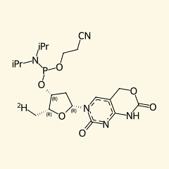 [2H]C[C@H]1O[C@@H](n2cc3c(nc2=O)NC(=O)OC3)C[C@H]1OP(OCCC#N)N(C(C)C)C(C)C